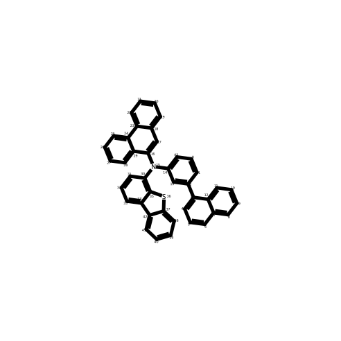 c1cc(-c2cccc3ccccc23)cc(N(c2cc3ccccc3c3ccccc23)c2cccc3c2sc2ccccc23)c1